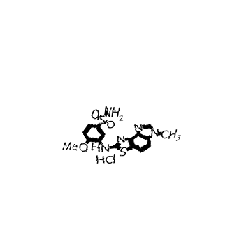 COc1ccc(S(N)(=O)=O)cc1Nc1nc2c(ccc3c2ncn3C)s1.Cl